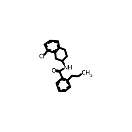 CCCc1ccccc1C(=O)NC1CCc2cccc(Cl)c2C1